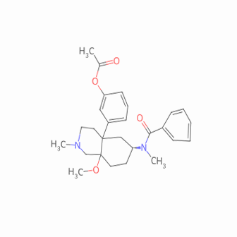 COC12CC[C@H](N(C)C(=O)c3ccccc3)CC1(c1cccc(OC(C)=O)c1)CCN(C)C2